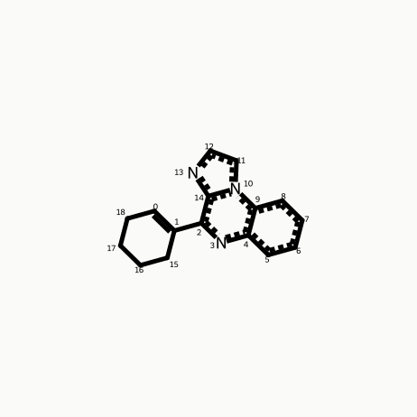 C1=C(c2nc3ccccc3n3ccnc23)CCCC1